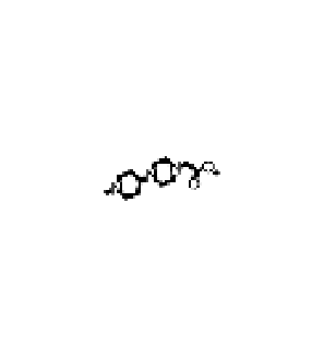 COC(=O)CN1CCN(C2CCN(C)CC2)CC1